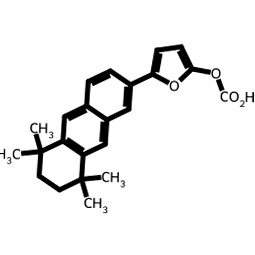 CC1(C)CCC(C)(C)c2cc3cc(-c4ccc(OC(=O)O)o4)ccc3cc21